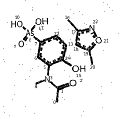 CC(=O)N(C)c1cc([As](=O)(O)O)ccc1O.Cc1cc(C)on1